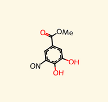 COC(=O)c1cc(O)c(O)c(N=O)c1